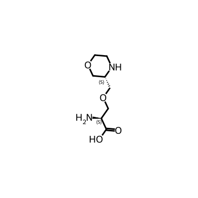 N[C@@H](COC[C@@H]1COCCN1)C(=O)O